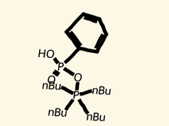 CCCCP(CCCC)(CCCC)(CCCC)OP(=O)(O)c1ccccc1